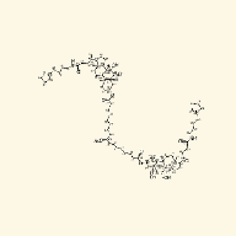 CC[C@H]1[C@@H](O)[C@@H]2[C@H](CC[C@]3(C)C([C@H](C)CCC(=O)NCCCCN4CCCC4)CC[C@@H]23)[C@@]2(C)CC[C@@H](OC(=O)CCCCCCCC(CCCCCCCC(=O)O[C@@H]3CC[C@]4(C)C5CC[C@@]6(C)C(CCC6[C@H](C)CCC(=O)NCCCCN6CCCC6)[C@@H]5[C@H](O)[C@H](CC)[C@@H]4C3)OC(C)=O)C[C@@H]12